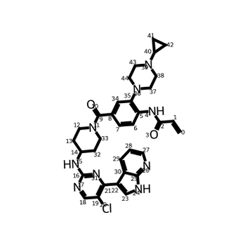 C=CC(=O)Nc1ccc(C(=O)N2CCC(Nc3ncc(Cl)c(-c4c[nH]c5ncccc45)n3)CC2)cc1N1CCN(C2CC2)CC1